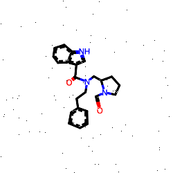 O=CN1CCCC1CN(CCc1ccccc1)C(=O)c1c[nH]c2ccccc12